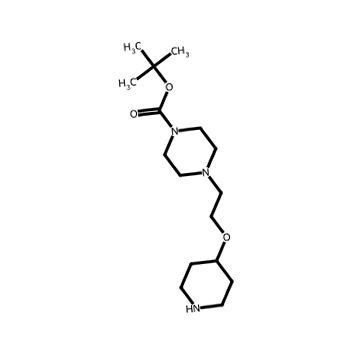 CC(C)(C)OC(=O)N1CCN(CCOC2CCNCC2)CC1